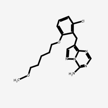 COCCCCCOc1cccc(Cl)c1Cc1cnn2c(N)ncnc12